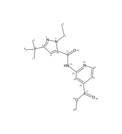 CCn1nc(C(C)(C)C)cc1C(=O)Nc1cc(C(=O)OC)ccn1